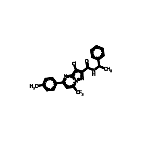 Cc1ccc(-c2cc(C(F)(F)F)n3nc(C(=O)NC(C)c4ccccc4)c(Cl)c3n2)cc1